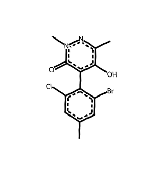 Cc1cc(Cl)c(-c2c(O)c(C)nn(C)c2=O)c(Br)c1